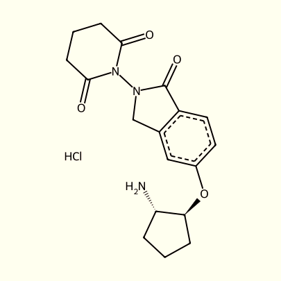 Cl.N[C@H]1CCC[C@@H]1Oc1ccc2c(c1)CN(N1C(=O)CCCC1=O)C2=O